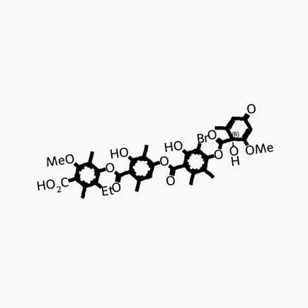 CCc1c(C)c(C(=O)O)c(OC)c(C)c1OC(=O)c1c(C)cc(OC(=O)c2c(C)c(C)c(OC(=O)[C@@]3(O)C(C)=CC(=O)C=C3OC)c(Br)c2O)c(C)c1O